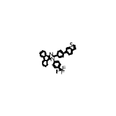 FC(F)(F)c1ccc(-n2c(-c3ccc(-c4ccc5ccsc5c4)cc3)nc3c4ccccc4c4ccccc4c32)cc1